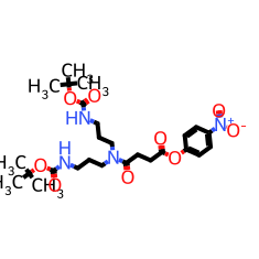 CC(C)(C)OC(=O)NCCCN(CCCNC(=O)OC(C)(C)C)C(=O)CCC(=O)Oc1ccc([N+](=O)[O-])cc1